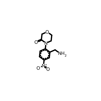 NCc1cc([N+](=O)[O-])ccc1N1CCOCC1=O